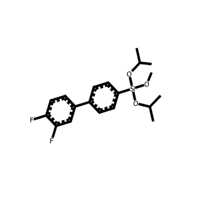 CO[Si](OC(C)C)(OC(C)C)c1ccc(-c2ccc(F)c(F)c2)cc1